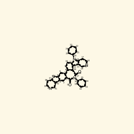 O=c1c2cc3c(cc2c2ccc4c(c5cnccc5n4-c4ccccc4)c2c(=O)n1-c1ccccc1)sc1ccncc13